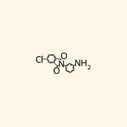 Nc1cccc(N2C(=O)c3ccc(Cl)cc3C2=O)c1